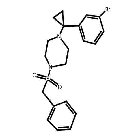 O=S(=O)(Cc1ccccc1)N1CCN(C2(c3cccc(Br)c3)CC2)CC1